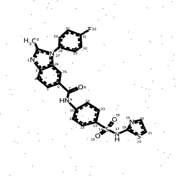 Cc1nc2ccc(C(=O)Nc3ccc(S(=O)(=O)Nc4nccs4)cc3)cc2n1-c1ccc(F)cc1